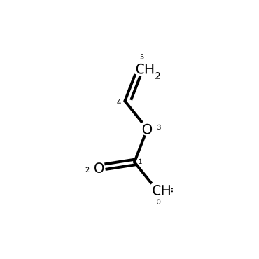 [CH]C(=O)OC=C